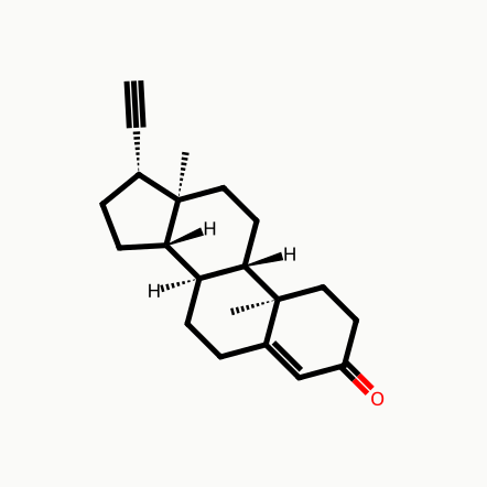 C#C[C@H]1CC[C@H]2[C@@H]3CCC4=CC(=O)CC[C@]4(C)[C@H]3CC[C@]12C